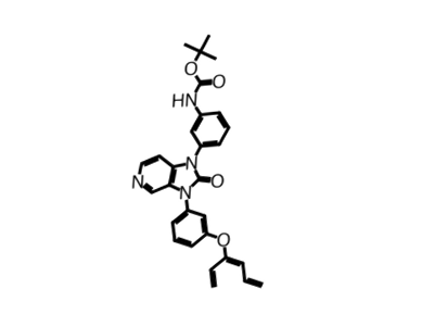 C=C/C=C(\C=C)Oc1cccc(-n2c(=O)n(-c3cccc(NC(=O)OC(C)(C)C)c3)c3ccncc32)c1